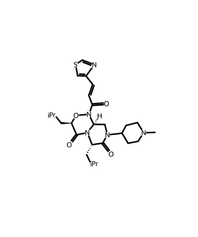 CC(C)C[C@H]1ON(C(=O)/C=C/c2cscn2)[C@H]2CN(C3CCN(C)CC3)C(=O)[C@H](CC(C)C)N2C1=O